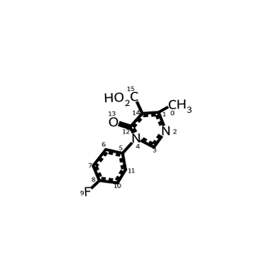 Cc1ncn(-c2ccc(F)cc2)c(=O)c1C(=O)O